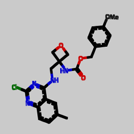 COc1ccc(COC(=O)NC2(CNc3nc(Cl)nc4ccc(C)cc34)COC2)cc1